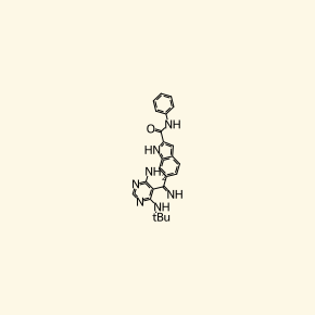 CC(C)(C)Nc1ncnc(N)c1C(=N)c1ccc2cc(C(=O)Nc3ccccc3)[nH]c2c1